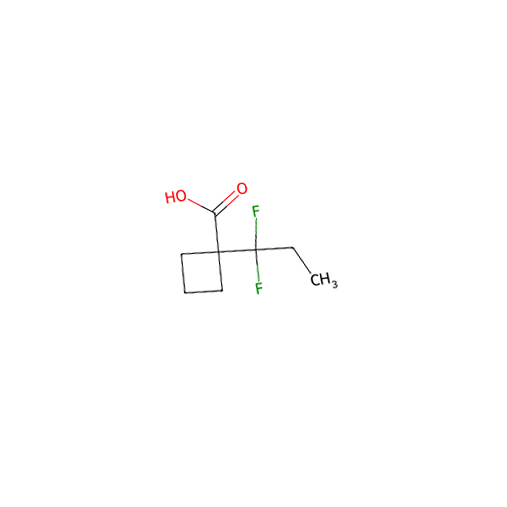 CCC(F)(F)C1(C(=O)O)CCC1